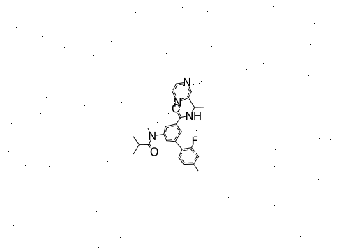 Cc1ccc(-c2cc(C(=O)NC(C)c3cnccn3)cc(N(C)C(=O)C(C)C)c2)c(F)c1